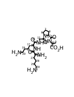 C[C@H](NC(=O)[C@@H]1CCCN1C(=O)CNC(=O)[C@H](CCCCN)NC(=O)[C@@H](N)CCCCN)C(=O)O